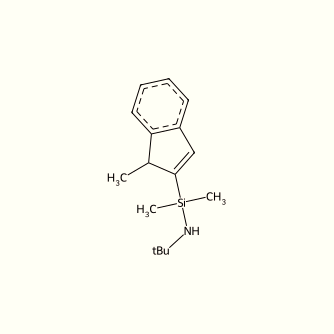 CC1C([Si](C)(C)NC(C)(C)C)=Cc2ccccc21